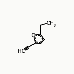 C#Cc1ccc(CC)o1